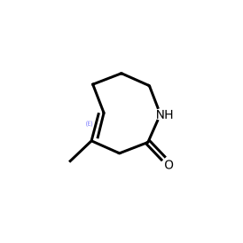 C/C1=C\CCCNC(=O)C1